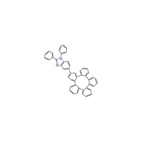 c1ccc(-c2nc3cc(-c4ccc5c6ccccc6c6ccccc6c6ccccc6c6ccccc6c5c4)ccc3n2-c2ccccc2)cc1